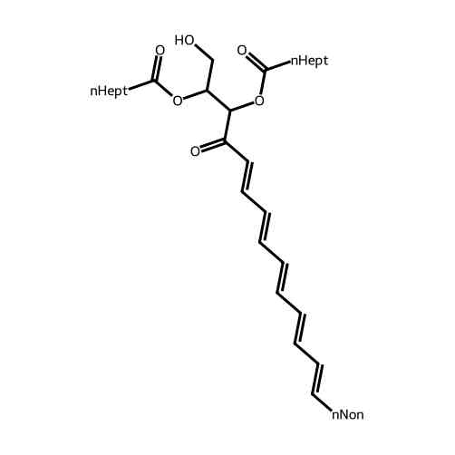 CCCCCCCCCC=CC=CC=CC=CC=CC(=O)C(OC(=O)CCCCCCC)C(CO)OC(=O)CCCCCCC